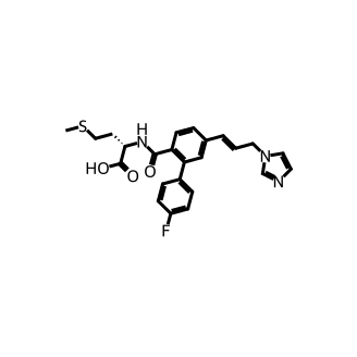 CSCC[C@H](NC(=O)c1ccc(/C=C/Cn2ccnc2)cc1-c1ccc(F)cc1)C(=O)O